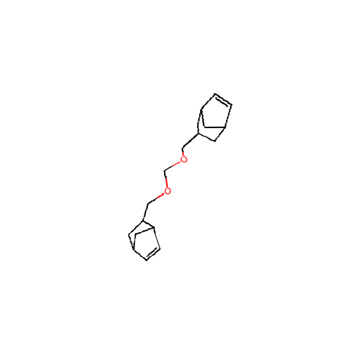 C1=CC2CC1CC2COCOCC1CC2C=CC1C2